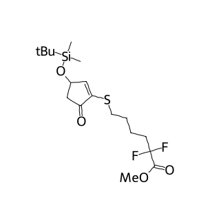 COC(=O)C(F)(F)CCCCSC1=CC(O[Si](C)(C)C(C)(C)C)CC1=O